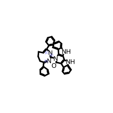 O=c1c2c3ccccc3[nH]c2c2[nH]c3ccccc3c2n1C1=N/C(c2ccccc2)=C/CCC/C(c2ccccc2)=N\1